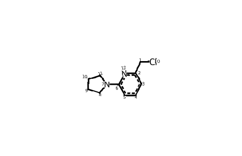 ClCc1cccc(N2CCCC2)n1